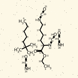 CCCCCC(C)(C)C.CCOC(=O)C(CCCCN=C=O)N=C=O.N=C=O.N=C=O